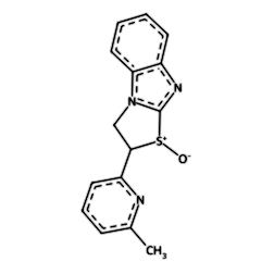 Cc1cccc(C2Cn3c(nc4ccccc43)[S+]2[O-])n1